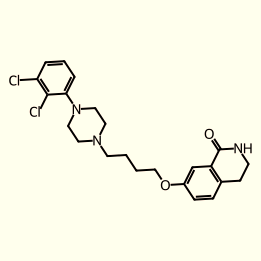 O=C1NCCc2ccc(OCCCCN3CCN(c4cccc(Cl)c4Cl)CC3)cc21